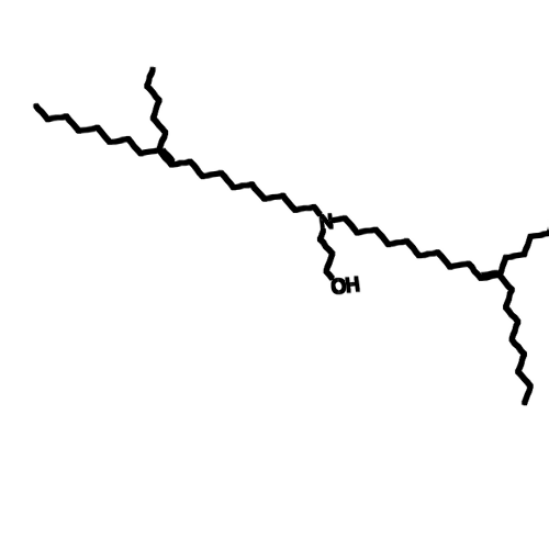 CCCCCCCC/C(=C/CCCCCCCCCN(CCCO)CCCCCCCCC/C=C(\CCCCC)CCCCCCCC)CCCCC